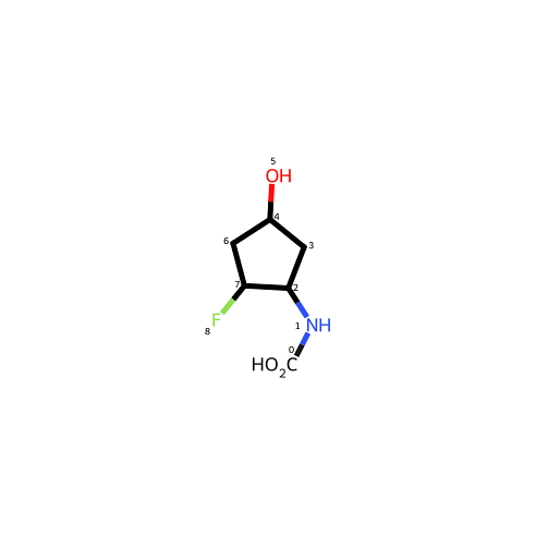 O=C(O)NC1CC(O)CC1F